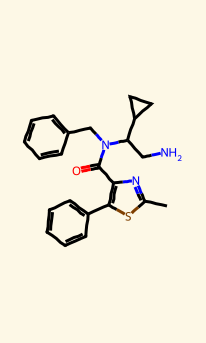 Cc1nc(C(=O)N(Cc2ccccc2)C(CN)C2CC2)c(-c2ccccc2)s1